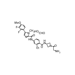 CCc1cc(NC(=O)c2ncc(-c3ccc(OC)c(F)c3F)n2C)ccc1C(=O)NC1CN(C(=O)CN)C1.O=CO